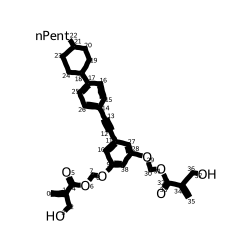 C=C(CO)C(=O)OCOc1cc(C#Cc2ccc(C3CCC(CCCCC)CC3)cc2)cc(OCOC(=O)C(=C)CO)c1